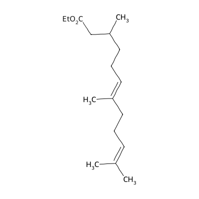 CCOC(=O)CC(C)CC/C=C(\C)CCC=C(C)C